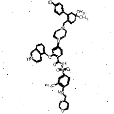 Cc1cc(S(=O)(=O)NC(=O)c2ccc(N3CCN(CC4=C(c5ccc(Cl)cc5)CC(C)(C)CC4)CC3)cc2Oc2cccc3c2CCNC3)ccc1NCC1CCOCC1